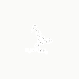 COc1ccc(-c2nc(N3CCOCC3)nc(N3CCN(c4ccccc4F)CC3)n2)cc1OC